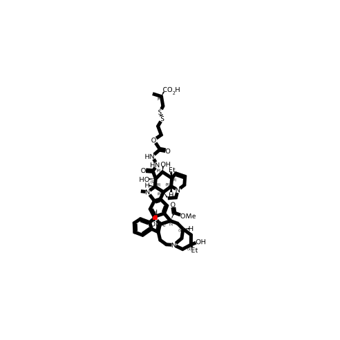 CC[C@]1(O)C[C@H]2CN(CCc3c([nH]c4ccccc34)[C@@](C(=O)OC)(c3cc4c(cc3OC)N(C)[C@H]3[C@@](O)(C(=O)NNC(=O)OCCSSC[C@H](C)C(=O)O)[C@H](O)[C@]5(CC)C=CCN6CC[C@]43[C@@H]65)C2)C1